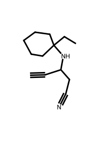 C#CC(CC#N)NC1(CC)CCCCC1